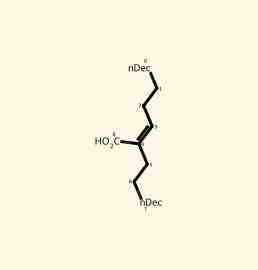 CCCCCCCCCCCC/C=C(/CCCCCCCCCCCC)C(=O)O